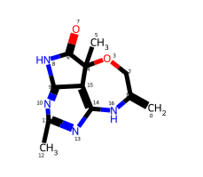 C=C1COC2(C)C(=O)Nc3nc(C)nc(c32)N1